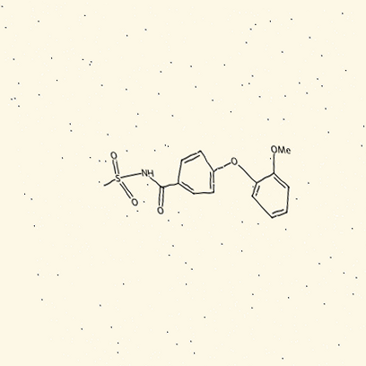 COc1ccccc1Oc1ccc(C(=O)NS(C)(=O)=O)cc1